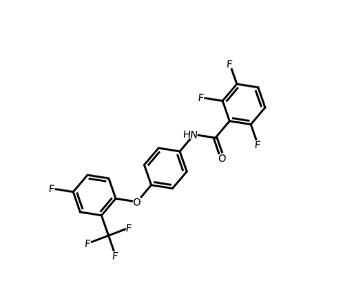 O=C(Nc1ccc(Oc2ccc(F)cc2C(F)(F)F)cc1)c1c(F)ccc(F)c1F